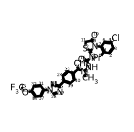 CC(C)c1ccc(Cl)cc1N1C(=O)CSC1=NC(=O)NN(C)C(C)c1ccc(-c2ncn(-c3ccc(OC(F)(F)F)cc3)n2)cc1